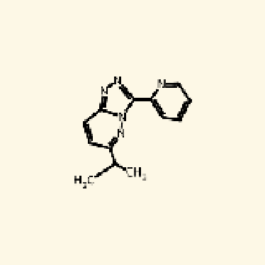 CC(C)c1ccc2nnc(-c3ccccn3)n2n1